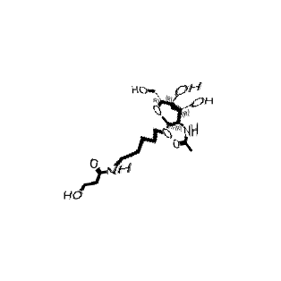 CC(=O)N[C@H]1[C@H](OCCCCCNC(=O)CCO)O[C@H](CO)[C@H](O)[C@@H]1O